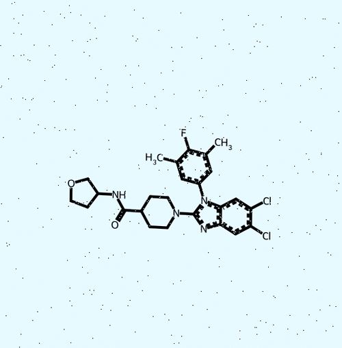 Cc1cc(-n2c(N3CCC(C(=O)NC4CCOC4)CC3)nc3cc(Cl)c(Cl)cc32)cc(C)c1F